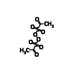 CC(=O)S(=O)(=O)OOS(=O)(=O)C(C)=O